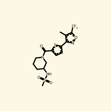 Cc1c(-c2ccc(C(=O)N3CCCC(NS(C)(=O)=O)C3)s2)noc1C(F)(F)F